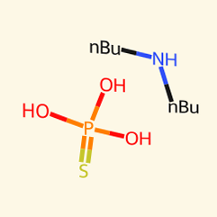 CCCCNCCCC.OP(O)(O)=S